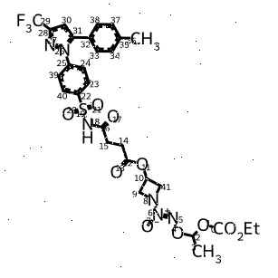 CCOC(=O)OC(C)O/N=[N+](\[O-])N1CC(OC(=O)CCC(=O)NS(=O)(=O)c2ccc(-n3nc(C(F)(F)F)cc3-c3ccc(C)cc3)cc2)C1